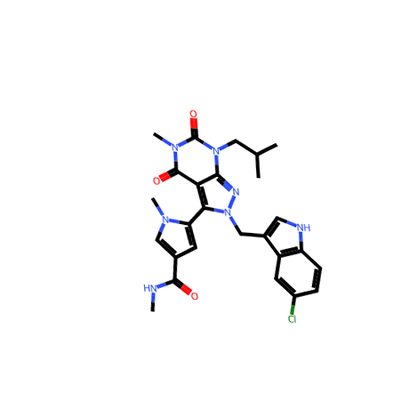 CNC(=O)c1cc(-c2c3c(=O)n(C)c(=O)n(CC(C)C)c3nn2Cc2c[nH]c3ccc(Cl)cc23)n(C)c1